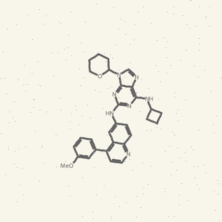 COc1cccc(-c2ccnc3ccc(Nc4nc(NC5CCC5)c5ncn(C6CCCCO6)c5n4)cc23)c1